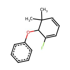 CC1(C)[C]=CC=C(F)C1Oc1ccccc1